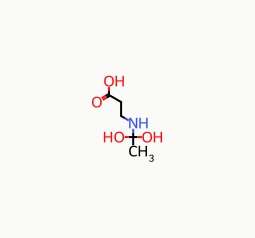 CC(O)(O)NCCC(=O)O